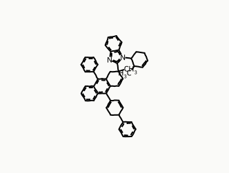 CC1C=CCCC1n1c(C2(C)C=Cc3c(c(-c4ccccc4)c4ccccc4c3C3=CCC(c4ccccc4)C=C3)C2)nc2ccccc21